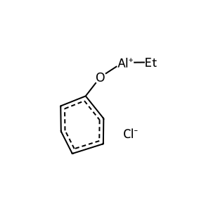 C[CH2][Al+][O]c1ccccc1.[Cl-]